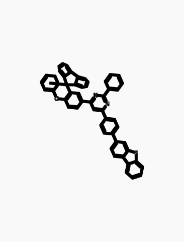 CC12CC=CC=C1Oc1ccc(-c3cc(-c4ccc(-c5ccc6c(c5)sc5ccccc56)cc4)nc(-c4ccccc4)n3)cc1C21c2ccccc2-c2ccccc21